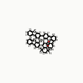 Cc1cc2c(cc1N1B3c4c(cc5sc6ccccc6c5c4-n4c5ccccc5c5cccc3c54)-c3ccc4c5cccc6c7ccccc7n(c4c31)c65)C(C)(C)CCC2(C)C